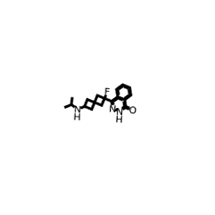 CC(C)NC1CC2(C1)CC(F)(c1n[nH]c(=O)c3ccccc13)C2